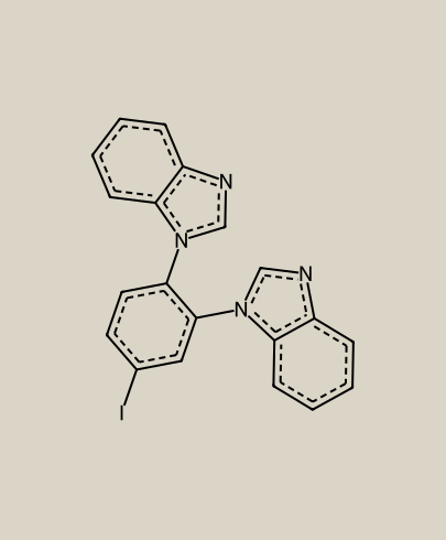 Ic1ccc(-n2cnc3ccccc32)c(-n2cnc3ccccc32)c1